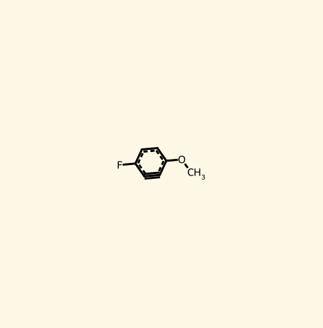 COc1c#cc(F)cc1